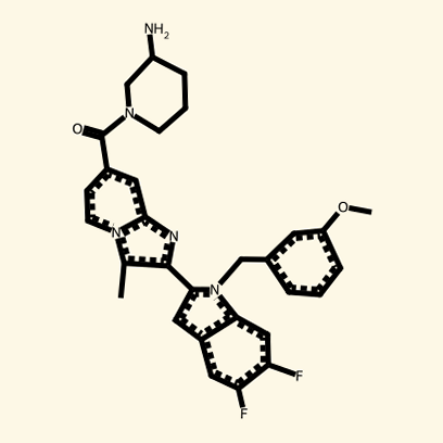 COc1cccc(Cn2c(-c3nc4cc(C(=O)N5CCCC(N)C5)ccn4c3C)cc3cc(F)c(F)cc32)c1